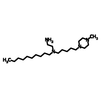 CCCCCCCCCCN(CCN)CCCCCN1CCN(C)CC1